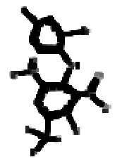 Cc1ccc(Nc2c([N+](=O)[O-])cc(C(F)(F)F)c(Cl)c2[N+](=O)[O-])c(Br)c1